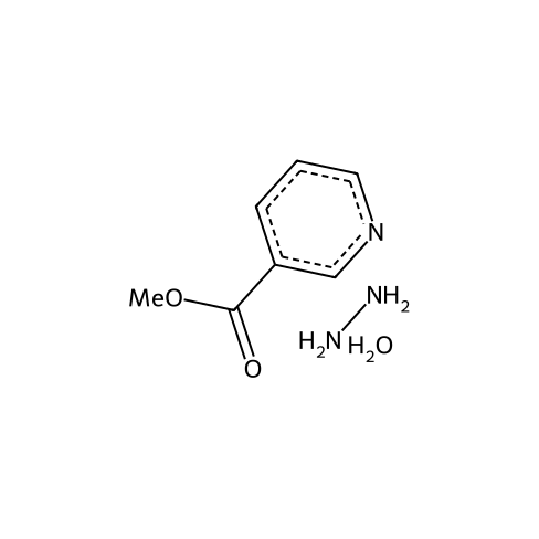 COC(=O)c1cccnc1.NN.O